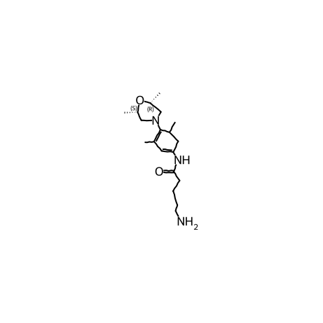 CC1=C(N2C[C@@H](C)O[C@@H](C)C2)C(C)CC(NC(=O)CCCCN)=C1